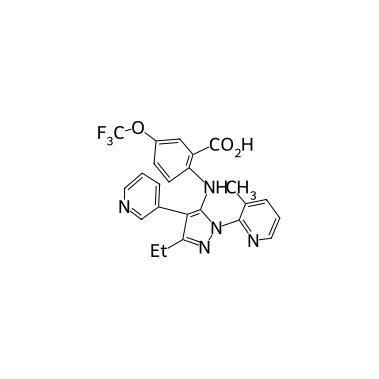 CCc1nn(-c2ncccc2C)c(Nc2ccc(OC(F)(F)F)cc2C(=O)O)c1-c1cccnc1